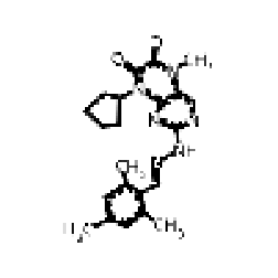 Cc1cc(C)c(/C=N/Nc2ncc3c(n2)n(C2CCCC2)c(=O)c(=O)n3C)c(C)c1